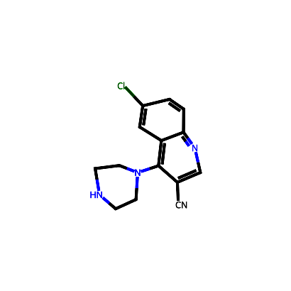 N#Cc1cnc2ccc(Cl)cc2c1N1CCNCC1